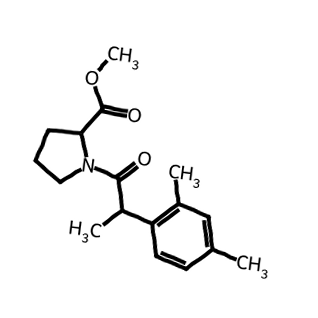 COC(=O)C1CCCN1C(=O)C(C)c1ccc(C)cc1C